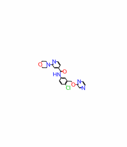 O=C(Nc1ccc(Cl)c(COc2cnccn2)c1)c1ccnc(N2CCOCC2)c1